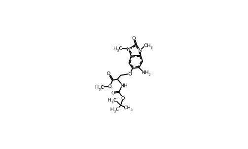 COC(=O)C(COc1cc2c(cc1N)n(C)c(=O)n2C)NC(=O)OC(C)(C)C